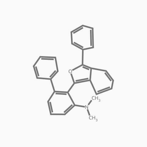 CN(C)c1cccc(-c2ccccc2)c1-c1oc(-c2ccccc2)c2ccccc12